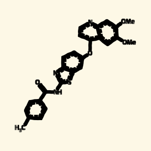 COc1cc2nccc(Oc3ccc4nc(NC(=O)c5ccc(C)cc5)sc4c3)c2cc1OC